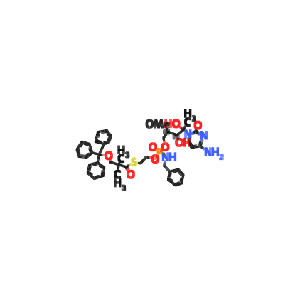 CO[C@H](COP(=O)(NCc1ccccc1)OCCSC(=O)C(C)(C)COC(c1ccccc1)(c1ccccc1)c1ccccc1)[C@@H](O)C(C)(O)n1ccc(N)nc1=O